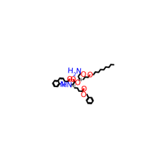 CCCCCCCCCOCCC[C@@H](CC(N)=O)OC(=O)[C@H](CCCC(=O)OCc1ccccc1)NC(=O)c1ccc2ccccc2n1